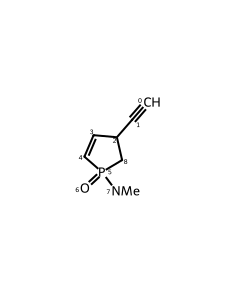 C#CC1C=CP(=O)(NC)C1